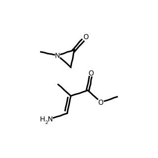 CN1CC1=O.COC(=O)C(C)=CN